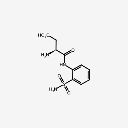 N[C@@H](CC(=O)O)C(=O)Nc1ccccc1S(N)(=O)=O